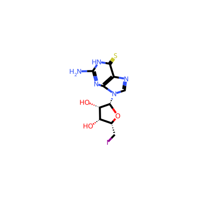 Nc1nc2c(ncn2[C@@H]2O[C@H](CI)[C@H](O)[C@@H]2O)c(=S)[nH]1